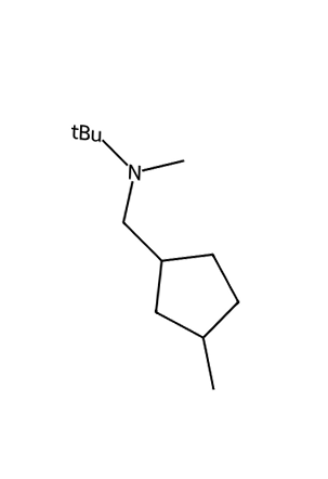 CC1CCC(CN(C)C(C)(C)C)C1